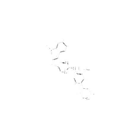 CNc1ccccc1-c1csc2cnc(Nc3ccc(C4CCNCC4)cc3OC)nc12